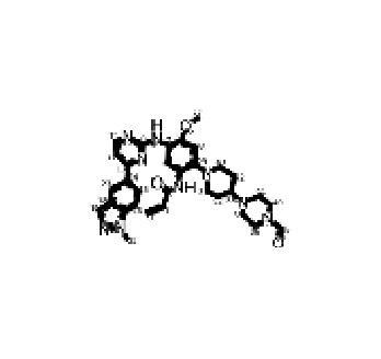 C=CC(=O)Nc1cc(Nc2nccc(-c3ccc4c(cnn4C)c3)n2)c(OC)cc1N1CCC(N2CCN(C=O)CC2)CC1